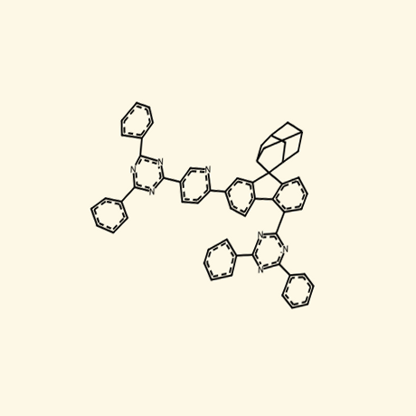 c1ccc(-c2nc(-c3ccccc3)nc(-c3ccc(-c4ccc5c(c4)C4(c6cccc(-c7nc(-c8ccccc8)nc(-c8ccccc8)n7)c6-5)C5CC6CC(C5)CC4C6)nc3)n2)cc1